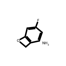 Fc1ccc2c(c1)OC2.N